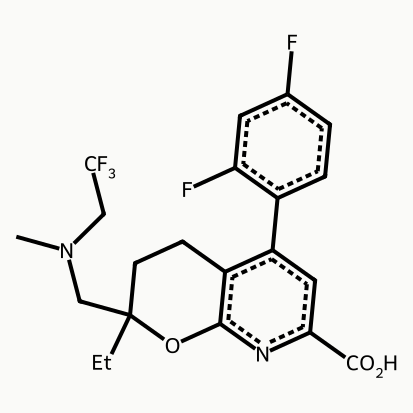 CCC1(CN(C)CC(F)(F)F)CCc2c(-c3ccc(F)cc3F)cc(C(=O)O)nc2O1